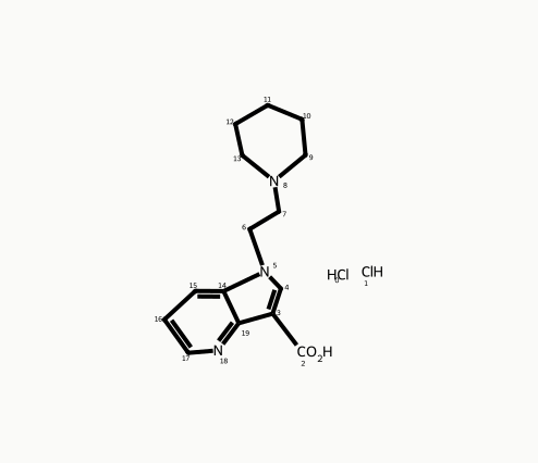 Cl.Cl.O=C(O)c1cn(CCN2CCCCC2)c2cccnc12